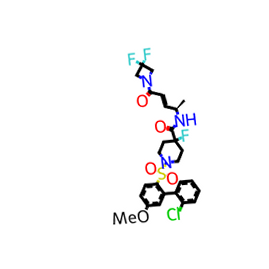 COc1ccc(S(=O)(=O)N2CCC(F)(C(=O)N[C@H](C)/C=C/C(=O)N3CC(F)(F)C3)CC2)c(-c2ccccc2Cl)c1